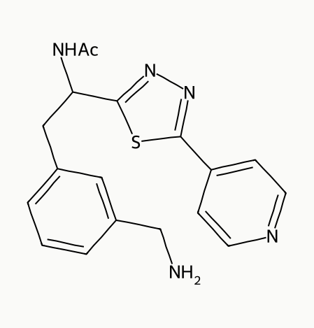 CC(=O)NC(Cc1cccc(CN)c1)c1nnc(-c2ccncc2)s1